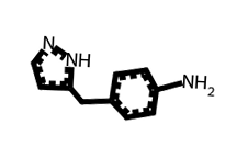 Nc1ccc(Cc2ccn[nH]2)cc1